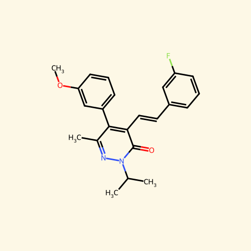 COc1cccc(-c2c(C)nn(C(C)C)c(=O)c2C=Cc2cccc(F)c2)c1